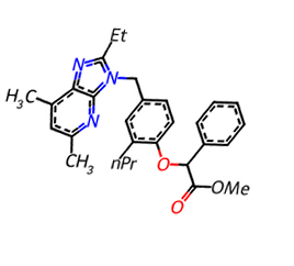 CCCc1cc(Cn2c(CC)nc3c(C)cc(C)nc32)ccc1OC(C(=O)OC)c1ccccc1